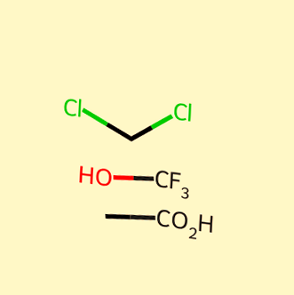 CC(=O)O.ClCCl.OC(F)(F)F